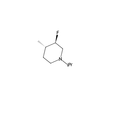 CC(C)N1CC[C@H](C)[C@@H](F)C1